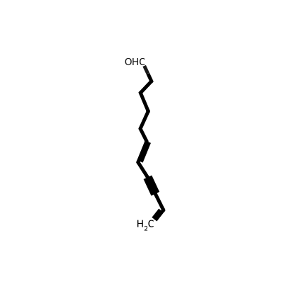 C=CC#C/C=C/CCCCC=O